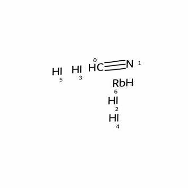 C#N.I.I.I.I.[RbH]